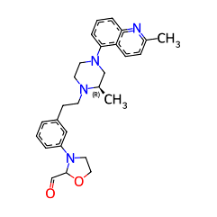 Cc1ccc2c(N3CCN(CCc4cccc(N5CCOC5C=O)c4)[C@H](C)C3)cccc2n1